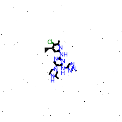 Cc1nc(Nc2ncc(N3CCNC(C)C3)c(Nc3cnn(C)n3)n2)cc(C2CC2)c1Cl